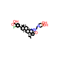 C=C(C)[C@@H]1CC[C@]2(C(=O)NCCN3CCS(O)(O)CC3)CC[C@]3(C)[C@H](CC[C@@H]4[C@@]5(C)CC=C(c6ccc(C(=O)O)c(F)c6)C(C)(C)[C@@H]5CC[C@]43C)[C@@H]12